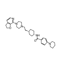 O=C(N[C@H]1CC[C@H](CCN2CCN(c3nccc4c3OCC4)CC2)CC1)c1ccc(N2CCCCC2)cc1